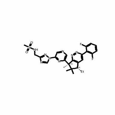 CC[C@H]1c2cc(-c3c(F)cccc3F)nnc2[C@](C)(c2cncc(-n3cnc(CNS(C)(=O)=O)n3)n2)C1(C)C